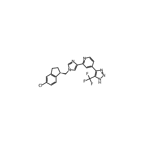 FC(F)(F)c1[nH]nnc1-c1ccnc(-c2cn(C[C@@H]3CCc4cc(Cl)ccc43)cn2)c1